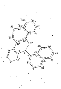 C1=CC2=C(CC1)C(c1cccc3ccccc13)Cc1c2ccc2ccccc12